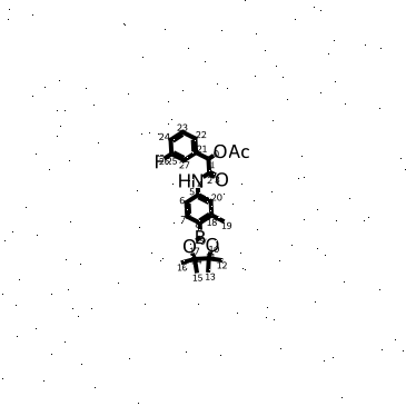 CC(=O)OC(C(=O)Nc1ccc(B2OC(C)(C)C(C)(C)O2)c(C)c1)c1cccc(F)c1